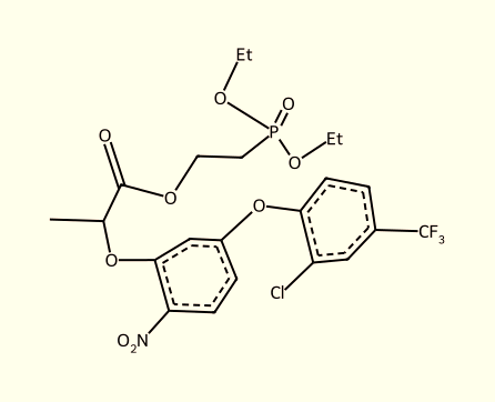 CCOP(=O)(CCOC(=O)C(C)Oc1cc(Oc2ccc(C(F)(F)F)cc2Cl)ccc1[N+](=O)[O-])OCC